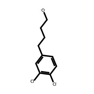 [O]CCCCc1ccc(Cl)c(Cl)c1